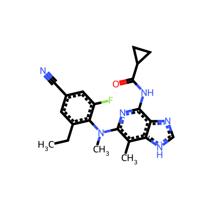 CCc1cc(C#N)cc(F)c1N(C)c1nc(NC(=O)C2CC2)c2nc[nH]c2c1C